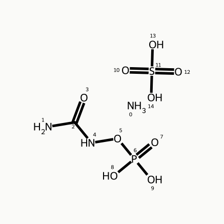 N.NC(=O)NOP(=O)(O)O.O=S(=O)(O)O